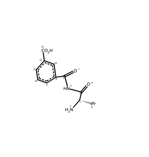 CC(C)[C@H](N)C(=O)NC(=O)c1cccc(C(=O)O)c1